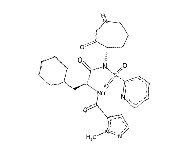 Cn1nccc1C(=O)N[C@@H](CC1CCCCC1)C(=O)N([C@H]1CCCNCC1=O)S(=O)(=O)c1ccccn1